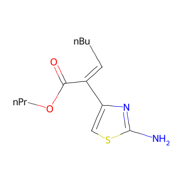 CCCCC=C(C(=O)OCCC)c1csc(N)n1